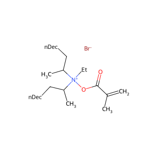 C=C(C)C(=O)O[N+](CC)(C(C)CCCCCCCCCCC)C(C)CCCCCCCCCCC.[Br-]